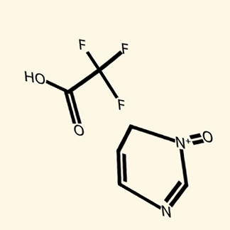 O=C(O)C(F)(F)F.O=[N+]1C=NC=CC1